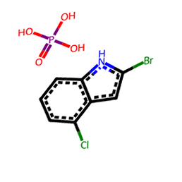 Clc1cccc2[nH]c(Br)cc12.O=P(O)(O)O